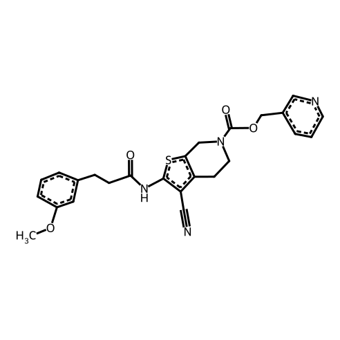 COc1cccc(CCC(=O)Nc2sc3c(c2C#N)CCN(C(=O)OCc2cccnc2)C3)c1